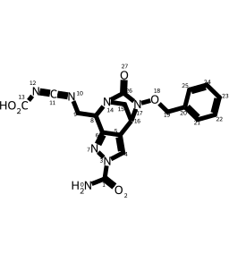 NC(=O)n1cc2c(n1)C(CN=C=NC(=O)O)N1CC2N(OCc2ccccc2)C1=O